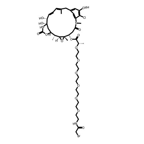 COc1cc2cc(c1Cl)N(C)C(=O)C[C@H](OC(=O)[C@H](C)OCCOCCOCCOCCOCCOCCNC(=O)CBr)[C@]1(C)O[C@H]1[C@H](C)[C@@H]1C[C@@](O)(NC(=O)O1)[C@H](O)/C=C/C=C(\C)C2